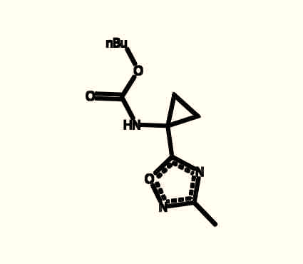 CCCCOC(=O)NC1(c2nc(C)no2)CC1